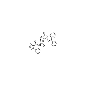 Cc1onc(-c2ccccc2)c1C(=O)NC1C(=O)N2C1SC(C)(CCl)C2C(=O)OC(c1ccccc1)c1ccccc1